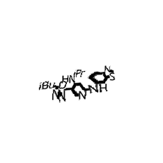 CCC(C)c1nnc(-c2cnc(Nc3ccc4ncsc4c3)cc2NC(C)C)o1